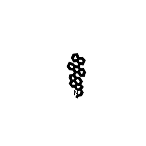 CC1=NC2C(=CC3=C4C2=CC=C2C=CC(c5c6ccccc6c(-c6cccc7ccccc67)c6ccccc56)=C(C=C3)C24)C=C1